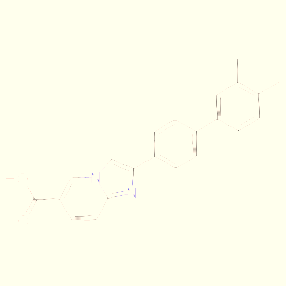 Cc1ccc(-c2ccc(-c3cn4cc(C(=O)O)ccc4n3)cc2)cc1C